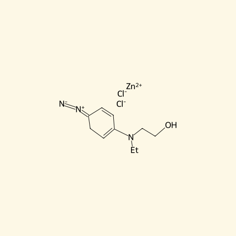 CCN(CCO)C1=CCC(=[N+]=[N-])C=C1.[Cl-].[Cl-].[Zn+2]